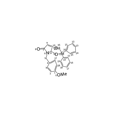 COc1ccc(CN2C(=O)C=CC2O[Si](c2ccccc2)(c2ccccc2)C(C)(C)C)cc1